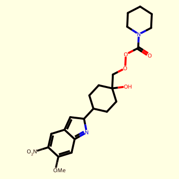 COc1cc2c(cc1[N+](=O)[O-])=CC(C1CCC(O)(COOC(=O)N3CCCCC3)CC1)N=2